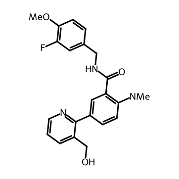 CNc1ccc(-c2ncccc2CO)cc1C(=O)NCc1ccc(OC)c(F)c1